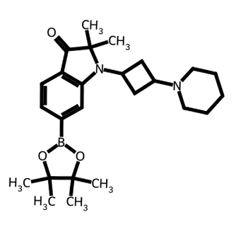 CC1(C)C(=O)c2ccc(B3OC(C)(C)C(C)(C)O3)cc2N1C1CC(N2CCCCC2)C1